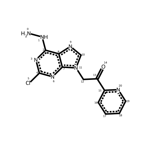 NNc1nc(Cl)nc2c1ncn2CC(=O)c1ccccn1